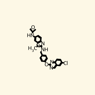 Cn1c(NCc2ccc(Oc3ncc4cc(Cl)ccc4n3)cc2)nc2ccc(NC3COC3)cc21